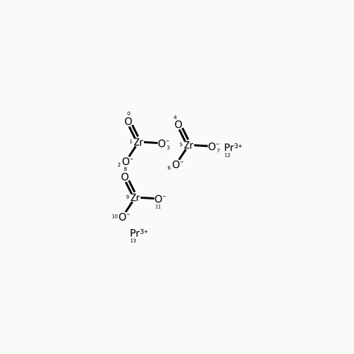 [O]=[Zr]([O-])[O-].[O]=[Zr]([O-])[O-].[O]=[Zr]([O-])[O-].[Pr+3].[Pr+3]